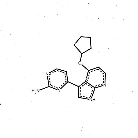 Nc1nccc(-c2c[nH]c3nccc(OC4CCCC4)c23)n1